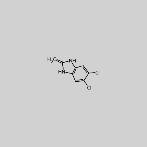 C=C1Nc2cc(Cl)c(Cl)cc2N1